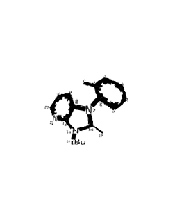 Cc1ccccc1N1c2cccnc2N(C(C)(C)C)[C@@H]1C